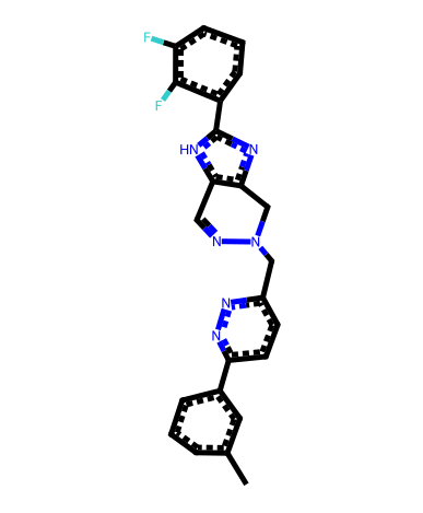 Cc1cccc(-c2ccc(CN3Cc4nc(-c5cccc(F)c5F)[nH]c4C=N3)nn2)c1